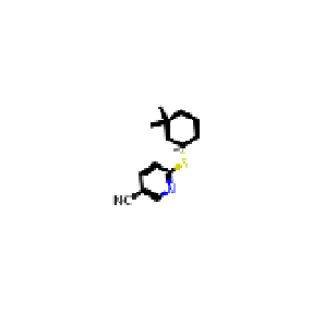 CC1(C)CCC[C@H](Sc2ccc(C#N)cn2)C1